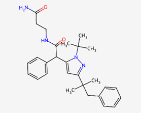 CC(C)(Cc1ccccc1)c1cc(C(C(=O)NCCC(N)=O)c2ccccc2)n(C(C)(C)C)n1